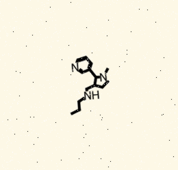 CCCNCC1CCN(C)C1c1cccnc1